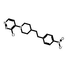 O=[N+]([O-])c1ccc(CCC2CCN(c3ccnnc3Cl)CC2)cc1